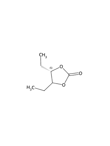 CCC1OC(=O)O[C@H]1CC